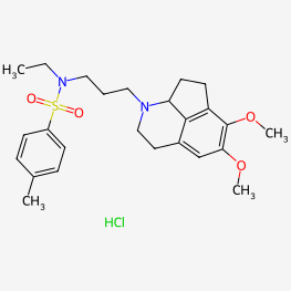 CCN(CCCN1CCc2cc(OC)c(OC)c3c2C1CC3)S(=O)(=O)c1ccc(C)cc1.Cl